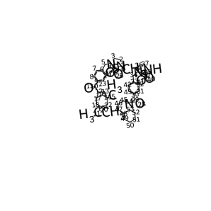 CN1CCN(Cc2ccc(C(=O)C3CC4(C)CC3CC(C)(C)C4)cc2)S1(=O)=O.O=C(c1ccc(CN2CCNS2(=O)=O)cc1)N1CCCC2CCCCC21